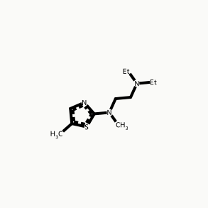 CCN(CC)CCN(C)c1ncc(C)s1